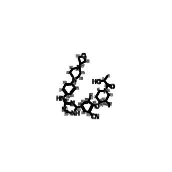 CC(O)C(=O)N1CC[C@H](Oc2c(F)cc(C3N=C(Nc4ccc(N5CCN(C6COC6)CC5)cc4)N=CN3)cc2C#N)[C@H](F)C1